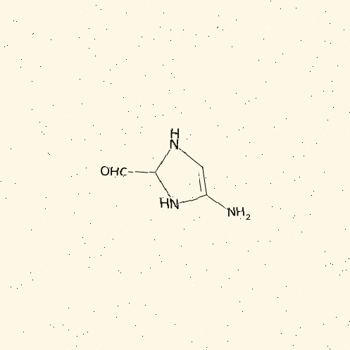 NC1=CNC(C=O)N1